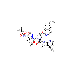 C=C[C@@H]1C[C@]1(NC(=O)[C@@H]1C[C@@H](Oc2nccc3cc(OC)ccc23)CN1C(=O)C(Nc1cc(C(F)(F)F)ccn1)C(C)C)C(=O)NS(=O)(=O)C1CC1